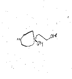 OCC[N+]1(O)CCNCC1